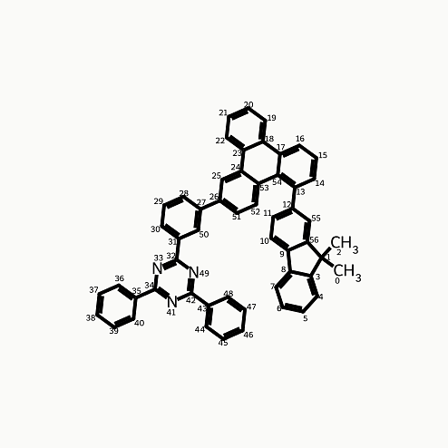 CC1(C)c2ccccc2-c2ccc(-c3cccc4c5ccccc5c5cc(-c6cccc(-c7nc(-c8ccccc8)nc(-c8ccccc8)n7)c6)ccc5c34)cc21